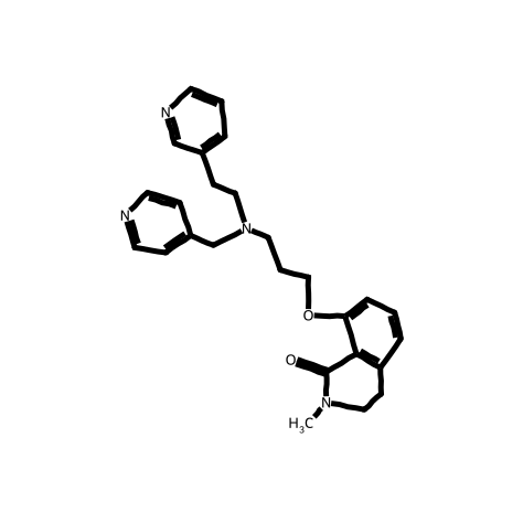 CN1CCc2cccc(OCCCN(CCc3cccnc3)Cc3ccncc3)c2C1=O